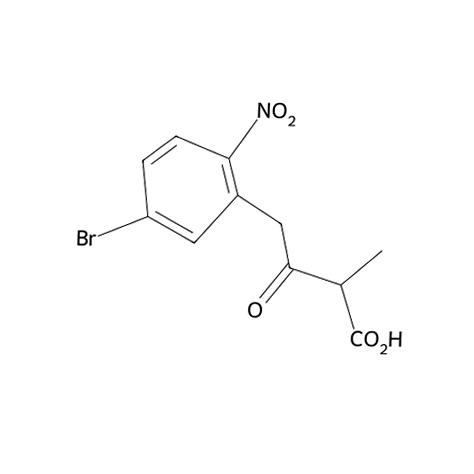 CC(C(=O)O)C(=O)Cc1cc(Br)ccc1[N+](=O)[O-]